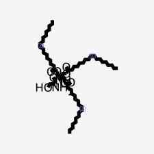 CCCCCCCC/C=C\CCCCCCCC(=O)OCC(COC(=O)CCCCCCC/C=C\CCCCCCCC)(COC(=O)CCCCCCC/C=C\CCCCCCCC)NC(=O)[C@@H](N)CO